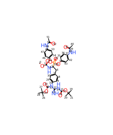 COC(=O)NC(Cc1ccc(N(C(=N)NC(=O)OC(C)(C)C)C(=O)OC(C)(C)C)cc1)P(=O)(Oc1ccc(NC(C)=O)cc1)Oc1ccc(NC(C)=O)cc1